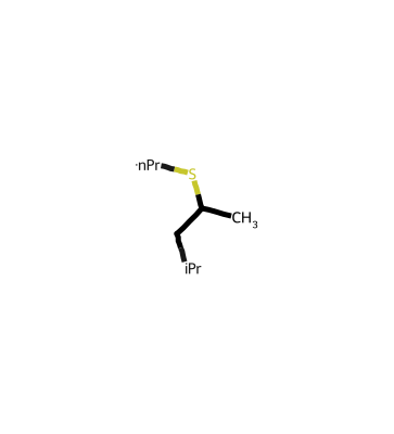 CC[CH]SC(C)CC(C)C